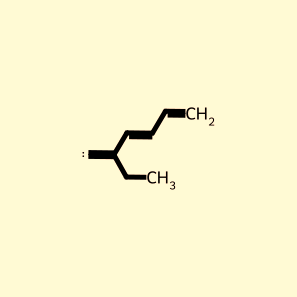 [C]=C(C=CC=C)CC